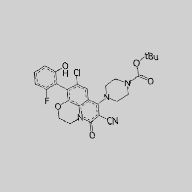 CC(C)(C)OC(=O)N1CCN(c2c(C#N)c(=O)n3c4c(c(-c5c(O)cccc5F)c(Cl)cc24)OCC3)CC1